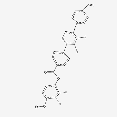 C=Cc1ccc(-c2ccc(-c3ccc(C(=O)Oc4ccc(OCC)c(F)c4F)cc3)c(F)c2F)cc1